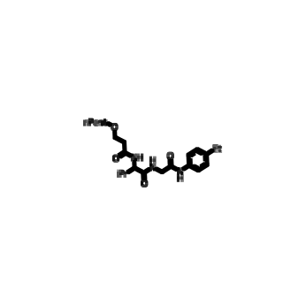 CCCCCOCCC(=O)NC(C(=O)NCC(=O)Nc1ccc(CC)cc1)C(C)C